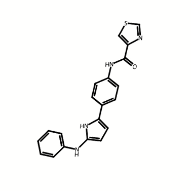 O=C(Nc1ccc(-c2ccc(Nc3ccccc3)[nH]2)cc1)c1cscn1